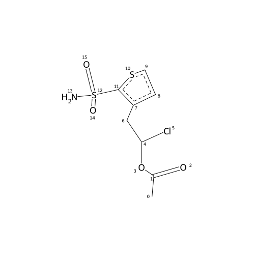 CC(=O)OC(Cl)Cc1ccsc1S(N)(=O)=O